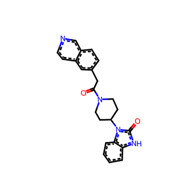 O=C(Cc1ccc2cnccc2c1)N1CCC(n2c(=O)[nH]c3ccccc32)CC1